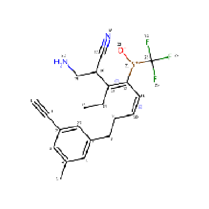 C#Cc1cc(C)cc(CC/C=C\C(=C(/CC)C(C#N)CN)[S+]([O-])C(F)(F)F)c1